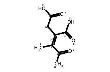 CC(=O)/C(C)=C(/CC(=O)O)C(=O)O